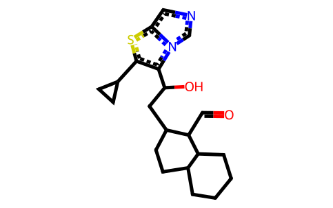 O=CC1C(CC(O)c2c(C3CC3)sc3cncn23)CCC2CCCCC21